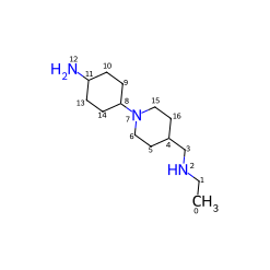 CCNCC1CCN(C2CCC(N)CC2)CC1